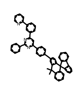 CC1(C)c2ccccc2C2(c3ccccc3-c3ccccc32)c2ccc(-c3ccc(-c4cc(-c5cccc(-c6ccccn6)c5)nc(-c5ccccc5)n4)cc3)cc21